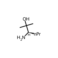 CCC[C@@H](N)C(C)(C)O